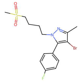 Cc1nn(CCCCS(C)(=O)=O)c(-c2ccc(F)cc2)c1Br